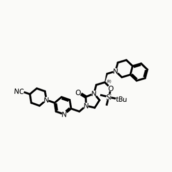 CC(C)(C)[Si](C)(C)O[C@H](CN1CCc2ccccc2C1)CN1CCN(Cc2ccc(N3CCC(C#N)CC3)cn2)C1=O